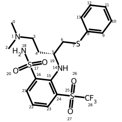 CN(C)CC[C@H](CSc1ccccc1)Nc1c(S(N)(=O)=O)cccc1S(=O)(=O)C(F)(F)F